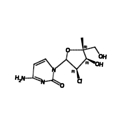 C[C@]1(CO)OC(n2ccc(N)nc2=O)[C@H](Cl)[C@@H]1O